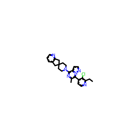 CCc1nccc(-c2c(C)nc(N3CCC4(CC3)Cc3cccnc3C4)c3ccnn23)c1Cl